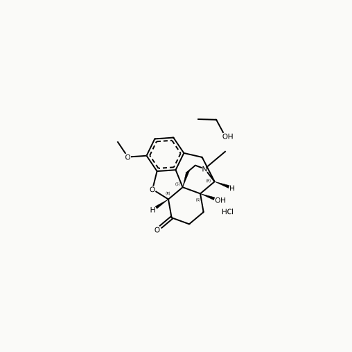 CCO.COc1ccc2c3c1O[C@H]1C(=O)CC[C@@]4(O)[C@@H](C2)N(C)CC[C@]314.Cl